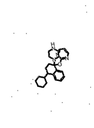 c1cnc(OC2(N3CCNCC3)CCC(C3CCCCC3)c3ccccc32)nc1